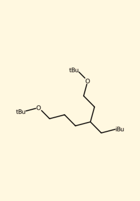 [CH2]C(CC)CC(CCCOC(C)(C)C)CCOC(C)(C)C